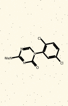 CNc1ncn(-c2cc(Cl)ccc2Cl)c(=O)n1